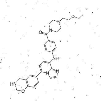 CCOCCN1CCN(C(=O)c2ccc(Nc3ccc(-c4ccc5c(c4)CNCO5)n4ccnc34)cc2)CC1